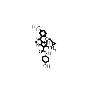 Cc1ccc(OCC2CC2)c(-c2ncnc3c(C(=O)N[C@H]4CC[C@H](O)CC4)c(C)[nH]c23)c1